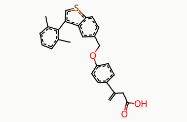 C=C(CC(=O)O)c1ccc(OCc2ccc3scc(-c4c(C)cccc4C)c3c2)cc1